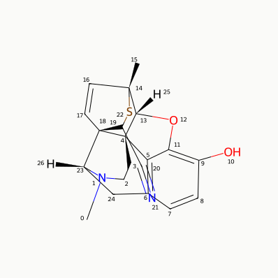 CN1CC[C@]23c4c5ccc(O)c4O[C@H]2[C@@]2(C)C=C[C@@]3(C(C#N)S2)[C@H]1C5